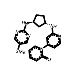 CSc1cnc(N[C@H]2CC[C@H](Nc3cc(-n4ccccc4=O)ccn3)C2)nc1